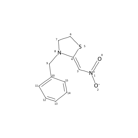 O=[N+]([O-])C=C1SCCN1Cc1ccccc1